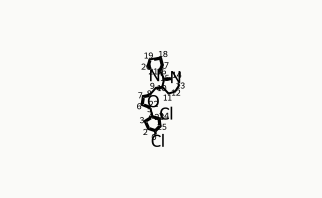 Clc1ccc(-c2ccc(C=C3CCCN=C3c3ccccn3)o2)c(Cl)c1